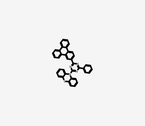 c1ccc(-c2nc(-c3ccc4c5ccccc5c5ccccc5c4c3)nc(N3c4ccccc4Sc4ccccc43)n2)cc1